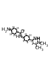 CNC(C)CC(=N)c1ccc(NC(=O)c2ccc(N)cc2)cc1